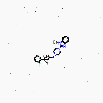 CCn1c(N2CCN(CCCC(C#N)(c3ccccc3F)C(C)C)CC2)nc2ccccc21